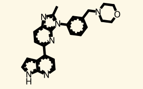 Cc1nc2ccc(-c3ccnc4[nH]ccc34)nc2n1-c1cccc(CN2CCOCC2)c1